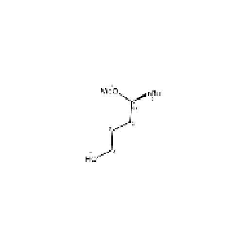 CCCC[C@@H](CCCO)OC